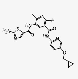 Cc1cc(F)c(C(=O)Nc2ccc(OCC3CC3)cn2)cc1NC(=O)c1cnc(N)s1